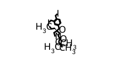 CCC[C@]1(C(=O)c2ccc(CI)c(CI)c2)CCN(C(=O)OC(C)(C)C)C1